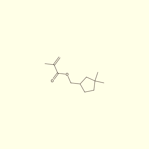 C=C(C)C(=O)OCC1CCC(C)(C)C1